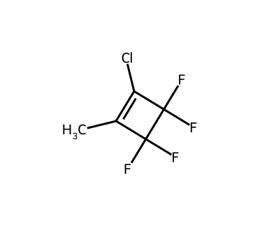 CC1=C(Cl)C(F)(F)C1(F)F